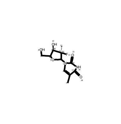 Cc1cn(C2OC(CO)[C@@H](O)[C@@]2(C)F)c(=O)[nH]c1=O